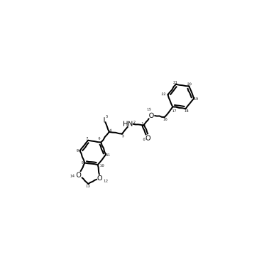 O=C(NCC(I)c1ccc2c(c1)OCO2)OCc1ccccc1